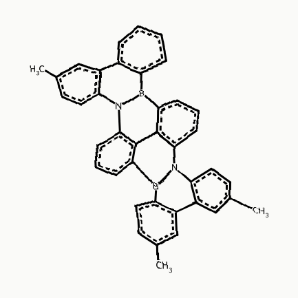 Cc1ccc2c(c1)-c1cc(C)ccc1N1B2c2cccc3c2-c2c(cccc21)B1c2ccccc2-c2cc(C)ccc2N13